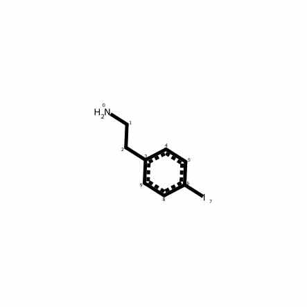 NCCc1ccc(I)cc1